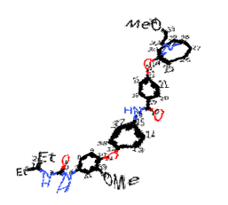 CCC(CC)NC(=O)Nc1ccc(Oc2ccc(NC(=O)c3ccc(OC45CCCC(CC4)N5CCOC)cc3)cc2)c(OC)c1